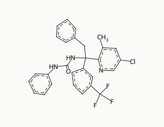 Cc1cc(Cl)cnc1C(Cc1ccccc1)(NC(=O)Nc1ccccc1)c1cccc(C(F)(F)F)c1